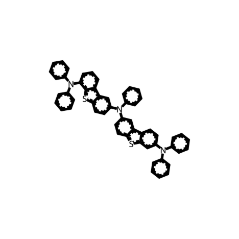 c1ccc(N(c2ccccc2)c2ccc3c(c2)sc2ccc(N(c4ccccc4)c4ccc5sc6c(N(c7ccccc7)c7ccccc7)cccc6c5c4)cc23)cc1